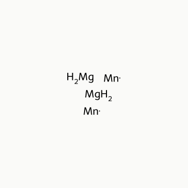 [MgH2].[MgH2].[Mn].[Mn]